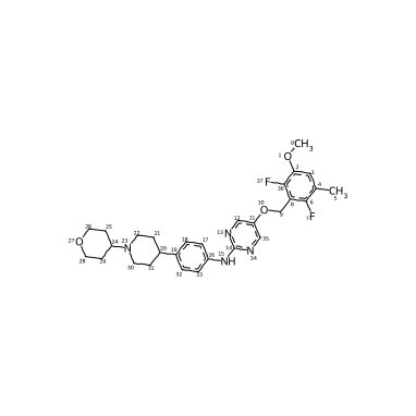 COc1cc(C)c(F)c(COc2cnc(Nc3ccc(C4CCN(C5CCOCC5)CC4)cc3)nc2)c1F